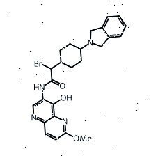 COc1ccc2ncc(NC(=O)C(Br)C3CCC(N4Cc5ccccc5C4)CC3)c(O)c2n1